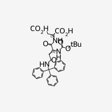 CC(C)(C)OC(=O)N[C@@H](CC(=O)NC(c1ccccc1)(c1ccccc1)c1ccccc1)C(=O)N[C@@H](CC(=O)O)C(=O)O